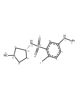 CCCNc1ccc(I)c(S(=O)(=O)N[C@@H]2CCN(C#N)C2)c1